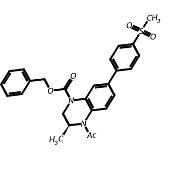 CC(=O)N1c2ccc(-c3ccc(S(C)(=O)=O)cc3)cc2N(C(=O)OCc2ccccc2)C[C@@H]1C